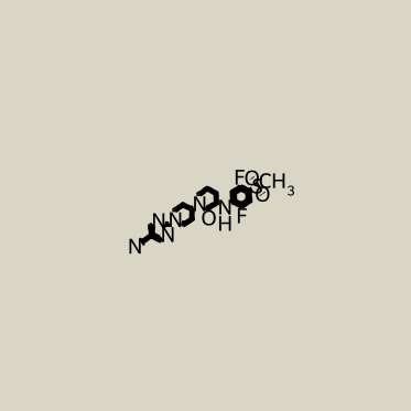 CS(=O)(=O)c1cc(F)c(N[C@H]2CCCN(C3CCN(c4ncc(C#N)cn4)CC3)C2=O)cc1F